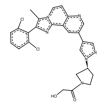 Cc1c(-c2c(Cl)cccc2Cl)nc2c3cc(-c4cnn([C@H]5CCN(C(=O)CO)C5)c4)cnc3ccn12